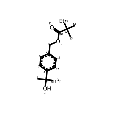 CCCC(C)(O)c1ccc(COC(=O)C(C)(C)CC)cc1